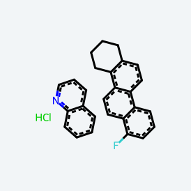 Cl.Fc1cccc2c1ccc1c3c(ccc12)CCCC3.c1ccc2ncccc2c1